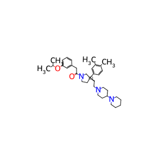 Cc1ccc([C@]2(CCN3CCC(N4CCCCC4)CC3)CCN(C(=O)Cc3cccc(OC(C)C)c3)C2)cc1C